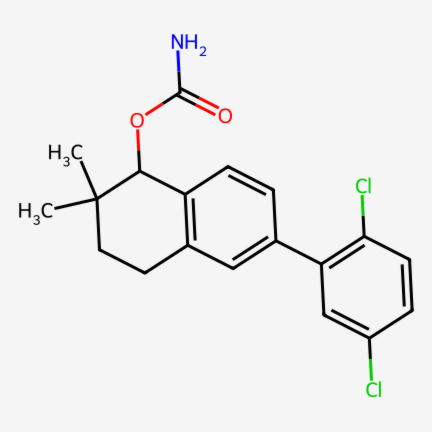 CC1(C)CCc2cc(-c3cc(Cl)ccc3Cl)ccc2C1OC(N)=O